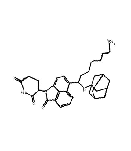 NCCCCCCC(NC12CC3CC(CC(C3)C1)C2)c1ccc2c3c(cccc13)C(=O)N2C1CCC(=O)NC1=O